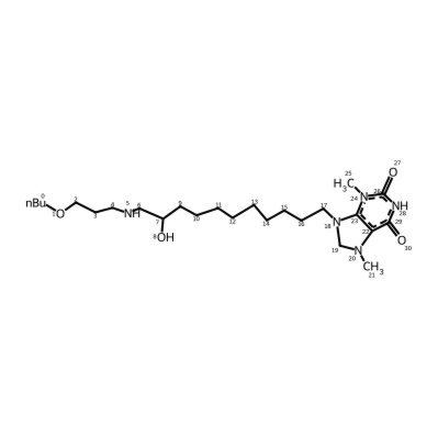 CCCCOCCCNCC(O)CCCCCCCCCN1CN(C)c2c1n(C)c(=O)[nH]c2=O